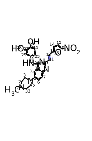 CN1CCN(c2ccc3nc(/C=C/c4ccc([N+](=O)[O-])o4)nc(Nc4ccc(O)c(O)c4)c3c2)CC1